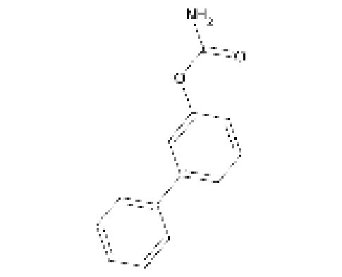 NC(=O)Oc1cccc(-c2ccccc2)c1